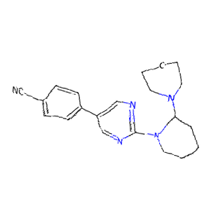 N#Cc1ccc(-c2cnc(N3CCCCC3N3CCCCC3)nc2)cc1